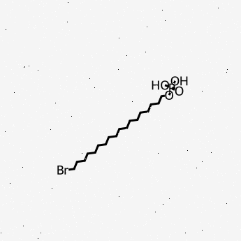 O=P(O)(O)OCCCCCCCCCCCCCCCCCCBr